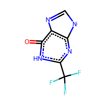 O=c1[nH]c(C(F)(F)F)nc2c1N=C[N]2